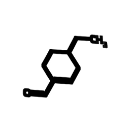 CCC1CC=C(C=O)CC1